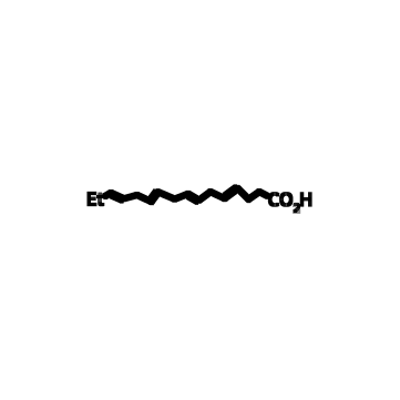 CCC=CCC=CCC=CCC=CCCC(=O)O